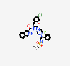 CS(=O)(=O)NCC(c1ccccc1F)N1CCN(C(=O)[C@@H](Cc2ccc(Cl)cc2)NC(=O)[C@H]2Cc3ccccc3CN2)CC1